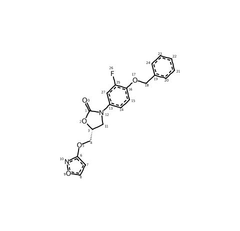 O=C1O[C@@H](COc2ccon2)CN1c1ccc(OCc2ccccc2)c(F)c1